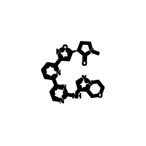 CN1CC[C@@H](c2cc(-c3cccc(-c4ccnc(Nc5cnn6c5COCC6)n4)n3)no2)C1=O